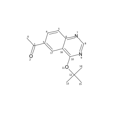 CC(=O)c1ccc2ncnc(OC(C)(C)C)c2c1